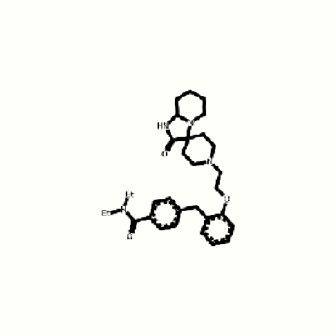 CCN(CC)C(=O)c1ccc(Cc2ccccc2OCCN2CCC3(CC2)C(=O)NC2CCCCN23)cc1